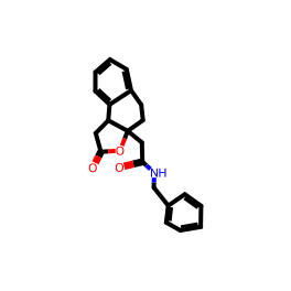 O=C(CC12CCc3ccccc3C1CC(=O)O2)NCc1ccccc1